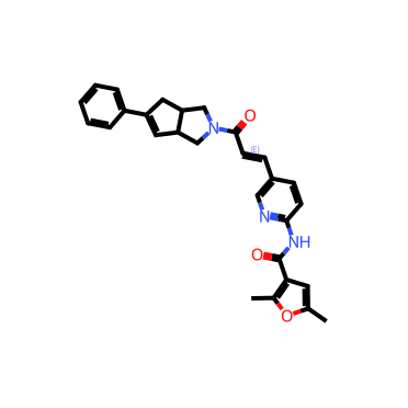 Cc1cc(C(=O)Nc2ccc(/C=C/C(=O)N3CC4C=C(c5ccccc5)CC4C3)cn2)c(C)o1